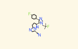 CC(C)(F)Cn1cnc(-c2ccc(F)cc2)c1-c1ccc2ncc(C#N)n2n1